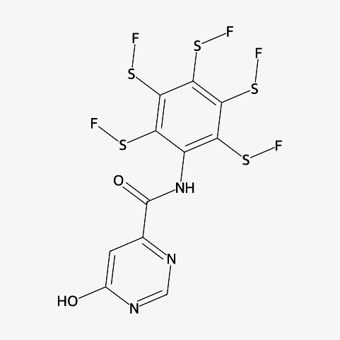 O=C(Nc1c(SF)c(SF)c(SF)c(SF)c1SF)c1cc(O)ncn1